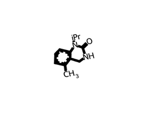 Cc1cccc2c1CNC(=O)N2C(C)C